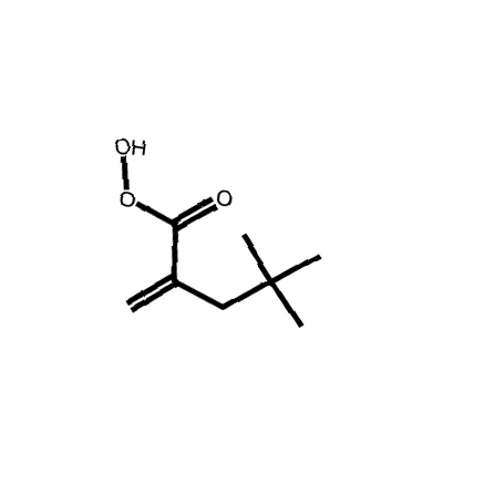 C=C(CC(C)(C)C)C(=O)OO